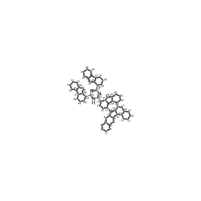 c1ccc2cc3c(cc2c1)c1c2ccccc2ccc1n3-c1ccc(C2=NC(c3cccc4c3sc3ccccc34)=NC(c3cccc4c3sc3ccccc34)N2)c2oc3ccccc3c12